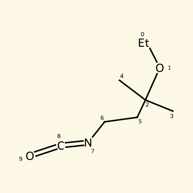 CCOC(C)(C)CCN=C=O